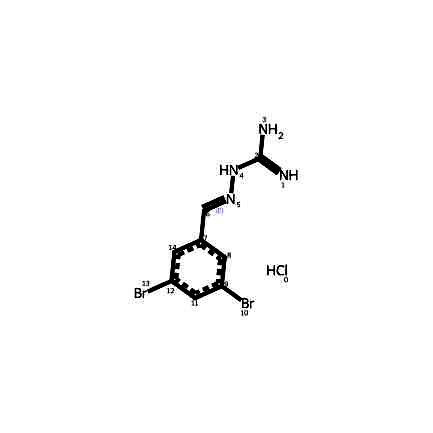 Cl.N=C(N)N/N=C/c1cc(Br)cc(Br)c1